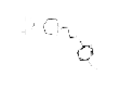 CC(O)C1CCN(CCOc2ccc(Br)cc2)CC1